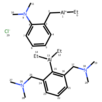 C[CH2][Al+][CH2]c1ccccc1N(C)C.C[CH2][Al]([CH2]C)[c]1c(CN(C)C)cccc1CN(C)C.[Cl-]